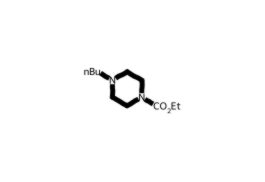 CCCCN1CCN(C(=O)OCC)CC1